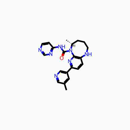 Cc1cncc(-c2ccc3c(n2)N(C(=O)Nc2ccncn2)[C@H](C)CCCN3)c1